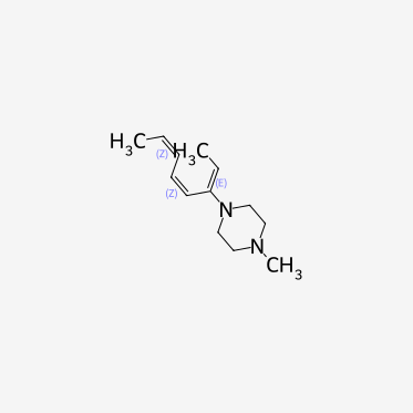 C\C=C/C=C\C(=C/C)N1CCN(C)CC1